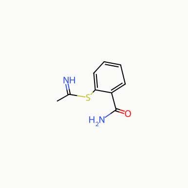 CC(=N)Sc1ccccc1C(N)=O